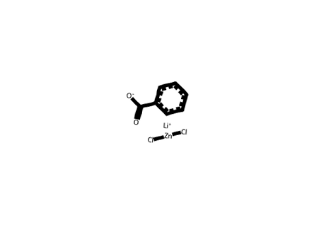 O=C([O-])c1ccccc1.[Cl][Zn][Cl].[Li+]